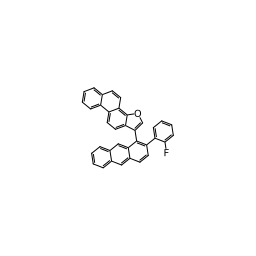 Fc1ccccc1-c1ccc2cc3ccccc3cc2c1-c1coc2c1ccc1c3ccccc3ccc12